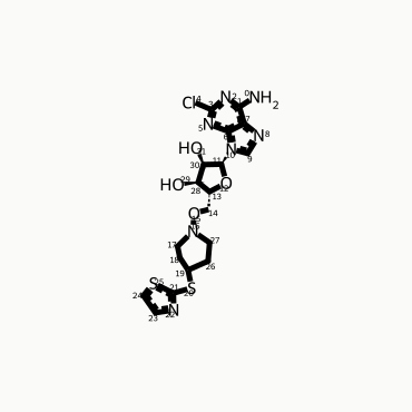 Nc1nc(Cl)nc2c1ncn2[C@@H]1O[C@H](CON2CCC(Sc3nccs3)CC2)[C@@H](O)[C@H]1O